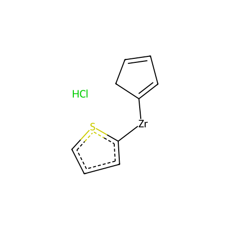 C1=CC[C]([Zr][c]2cccs2)=C1.Cl